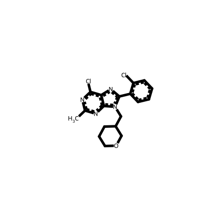 Cc1nc(Cl)c2nc(-c3ccccc3Cl)n(CC3CCCOC3)c2n1